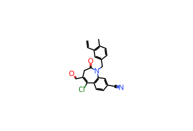 C=Cc1cc(CN2C(=O)CC(C=O)=C(Cl)c3ccc(C#N)cc32)ccc1C